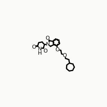 O=C1CCC(N2Cc3c(OCCOCCC4CCCCCC4)cccc3C2=O)C(=O)N1